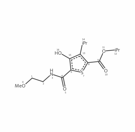 COCCNC(=O)c1sc(C(=O)OC(C)C)c(C(C)C)c1O